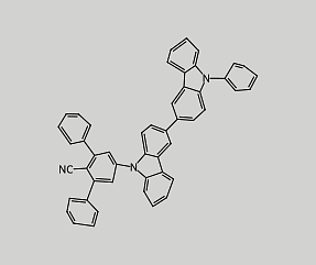 N#Cc1c(-c2ccccc2)cc(-n2c3ccccc3c3cc(-c4ccc5c(c4)c4ccccc4n5-c4ccccc4)ccc32)cc1-c1ccccc1